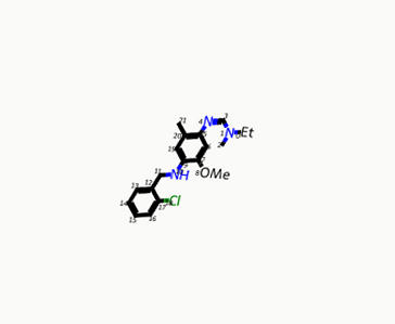 CCN(C)/C=N\c1cc(OC)c(NCc2ccccc2Cl)cc1C